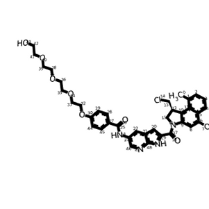 Cc1cccc2c(O)cc3c(c12)[C@H](CCl)CN3C(=O)c1cc2cc(NC(=O)c3ccc(OCCOCCOCCOCCO)cc3)cnc2[nH]1